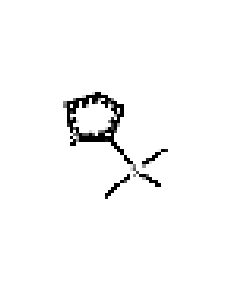 C[Si](C)(C)c1cc[c]s1